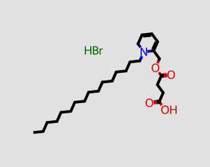 Br.CCCCCCCCCCCCCCCCN1CC=CC=C1COC(=O)CCC(=O)O